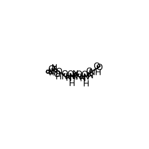 C=Nc1cc(OCCCC(=O)Nc2cc(C(=O)Nc3cn(C)c(C(=O)Nc4cc(C(=O)Nc5cc(C(=O)NCCCCC(=O)OC)n(C)c5)n(C)c4)n3)n(C)c2)c(OC)cc1C(=O)N1c2ccccc2C[C@H]1C